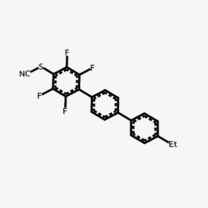 CCc1ccc(-c2ccc(-c3c(F)c(F)c(SC#N)c(F)c3F)cc2)cc1